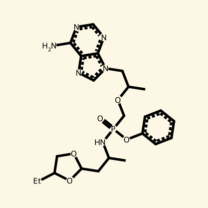 CCC1COC(CC(C)NP(=O)(COC(C)Cn2cnc3c(N)ncnc32)Oc2ccccc2)O1